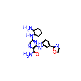 NC(=O)c1ncc(N[C@@H]2CCCC[C@@H]2N)nc1Nc1cccc(-c2ncco2)c1